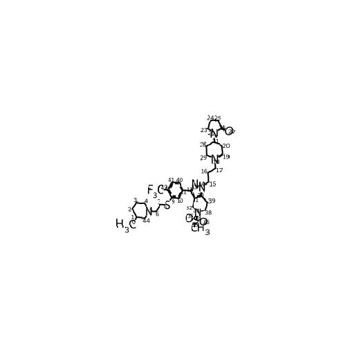 CC1CCCN(CCSc2cc(-c3nn(CCCN4CCC(N5CCCC5=O)CC4)c4c3CN(S(C)(=O)=O)CC4)ccc2C(F)(F)F)C1